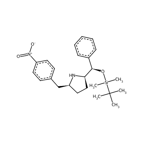 CC(C)(C)[Si](C)(C)O[C@H](c1ccccc1)[C@H]1CC[C@@H](Cc2ccc([N+](=O)[O-])cc2)N1